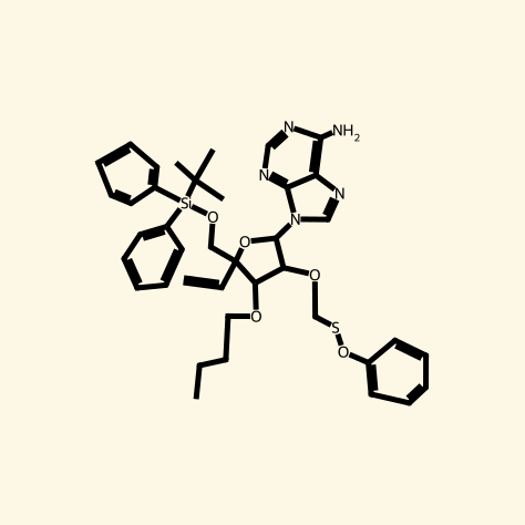 C=CC1(CO[Si](c2ccccc2)(c2ccccc2)C(C)(C)C)OC(n2cnc3c(N)ncnc32)C(OCSOc2ccccc2)C1OCCCC